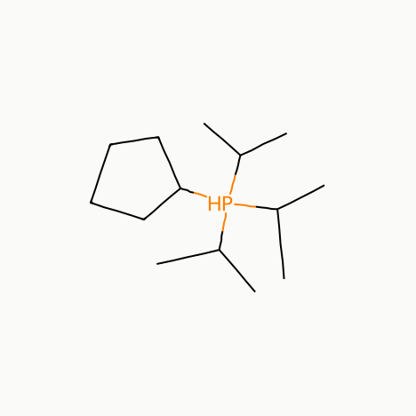 CC(C)[PH](C(C)C)(C(C)C)C1CCCC1